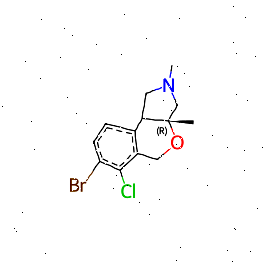 CN1CC2c3ccc(Br)c(Cl)c3CO[C@@]2(C)C1